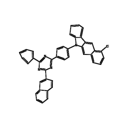 Clc1cccc2cc3c(cc12)c1ccccc1n3-c1ccc(-c2nc(-c3ccccc3)nc(-c3ccc4ccccc4c3)n2)cc1